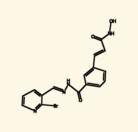 O=C(/C=C/c1cccc(C(=O)N/N=C/c2cccnc2Br)c1)NO